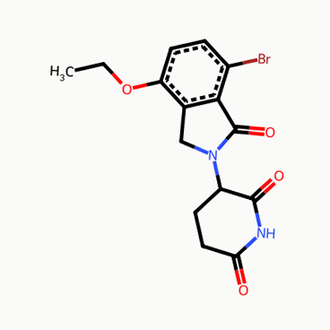 CCOc1ccc(Br)c2c1CN(C1CCC(=O)NC1=O)C2=O